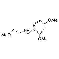 COCCNCc1ccc(OC)cc1OC